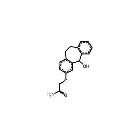 NC(=O)COc1ccc2c(c1)C(O)c1ccccc1CC2